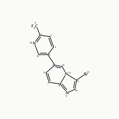 FC(F)(F)c1ccc(-c2ccc3ncc(Br)n3c2)cn1